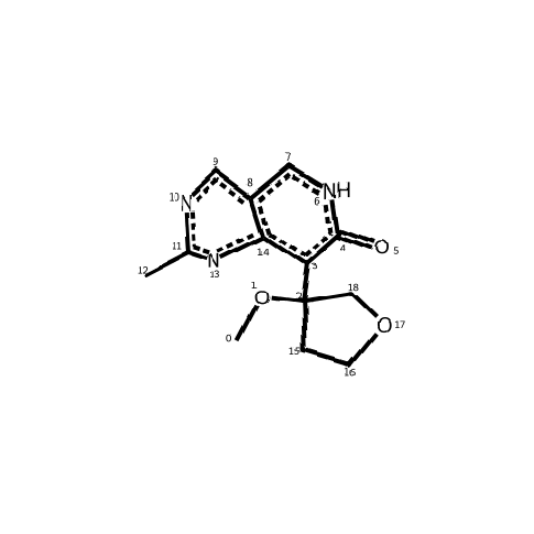 COC1(c2c(=O)[nH]cc3cnc(C)nc23)CCOC1